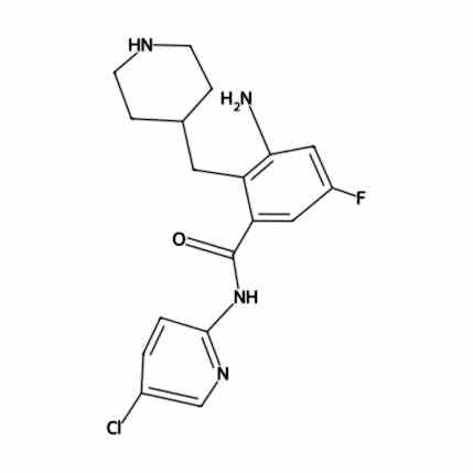 Nc1cc(F)cc(C(=O)Nc2ccc(Cl)cn2)c1CC1CCNCC1